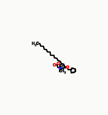 CCCCCCCCCCCCCCCCC(C[N+](C)(C)CC(=O)[O-])OCc1ccccc1